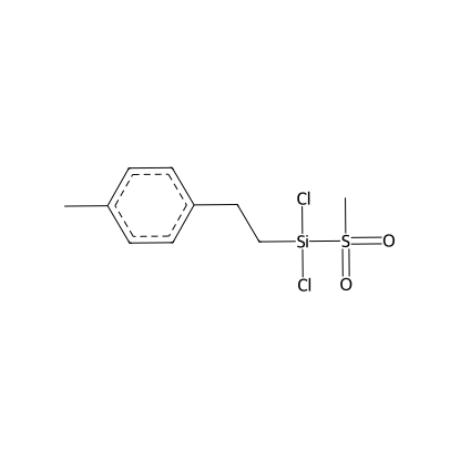 Cc1ccc(CC[Si](Cl)(Cl)S(C)(=O)=O)cc1